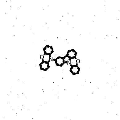 c1ccc2c(c1)Oc1ccccc1N2c1ccc2c(c1)c1cccc3c1n2-c1ccccc1O3